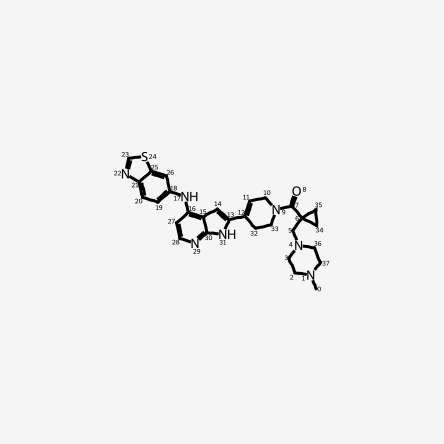 CN1CCN(CC2(C(=O)N3CC=C(c4cc5c(Nc6ccc7ncsc7c6)ccnc5[nH]4)CC3)CC2)CC1